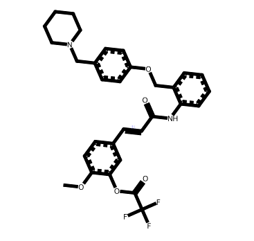 COc1ccc(/C=C/C(=O)Nc2ccccc2COc2ccc(CN3CCCCC3)cc2)cc1OC(=O)C(F)(F)F